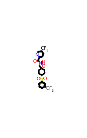 O=C(NC[C@]1(O)CC[C@@H](S(=O)(=O)c2cccc(C(F)(F)F)c2)CC1)c1ccc(C(F)(F)F)cn1